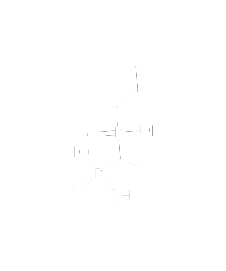 CCCP(=O)(O)C(C)P(=O)(O)O